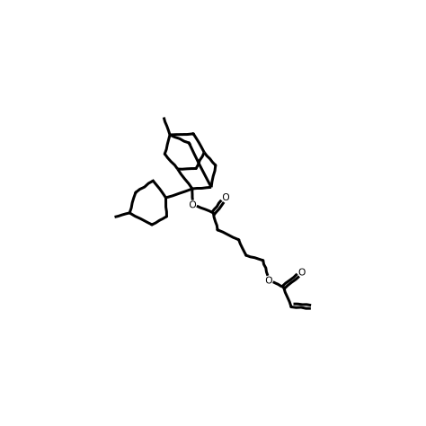 C=CC(=O)OCCCCC(=O)OC1(C2CCC(C)CC2)C2CC3CC1CC(C)(C3)C2